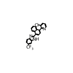 FC(F)(F)c1ccc2nc(-c3ccc(-c4ncccc4Cl)c4ccccc34)[nH]c2c1